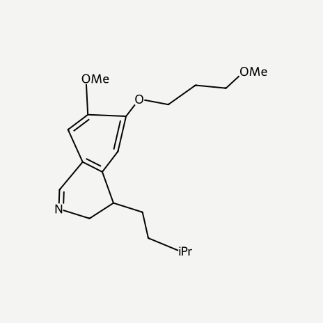 COCCCOc1cc2c(cc1OC)C=NCC2CCC(C)C